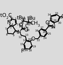 CCOC(=O)c1ccc2c(n1)CCCC2N(CCc1cc(F)ccc1OCc1ccc(-c2nc3cc(Cl)ccc3o2)cc1)C(=O)OC(C(C)(C)C)C(C)(C)C(C)(C)C